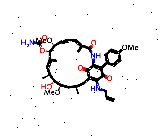 C=CCNC1=C2C[C@@H](C)C[C@H](OC)[C@H](O)[C@@H](C)/C=C(\C)[C@H](OC(N)=O)[C@H](OC)/C=C\C=C(/C)C(=O)NC(=C(c3ccc(OC)cc3)C1=O)C2=O